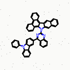 c1ccc(-n2c3ccccc3c3cc(-c4nc(-n5c6cc7ccccc7cc6c6c7ccccc7c7ccccc7c65)nc5ccccc45)ccc32)cc1